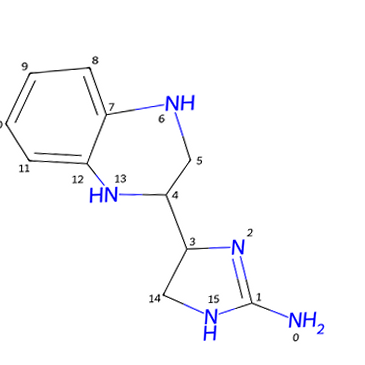 NC1=NC(C2CNc3ccccc3N2)CN1